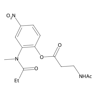 CCC(=O)N(C)c1cc([N+](=O)[O-])ccc1OC(=O)CCNC(C)=O